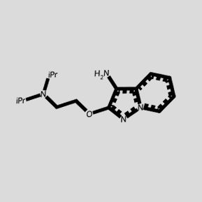 CC(C)N(CCOc1nn2ccccc2c1N)C(C)C